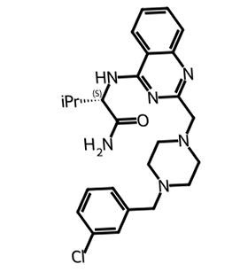 CC(C)[C@H](Nc1nc(CN2CCN(Cc3cccc(Cl)c3)CC2)nc2ccccc12)C(N)=O